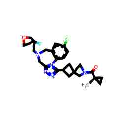 O=C(N1CC2(CC(c3nnc4n3-c3ccc(Cl)cc3CN(CC3(F)COC3)C4)C2)C1)C1(C(F)(F)F)CC1